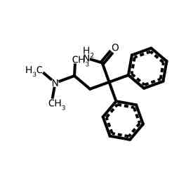 CC(CC(C(N)=O)(c1ccccc1)c1ccccc1)N(C)C